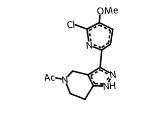 COc1ccc(-c2n[nH]c3c2CN(C(C)=O)CC3)nc1Cl